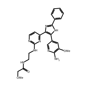 COCC(=O)NCCNc1nccc(-c2nc(-c3ccccc3)[nH]c2-c2cnc(N)c(OC)c2)n1